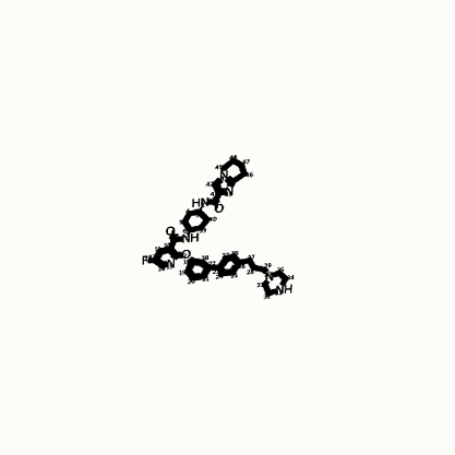 O=C(N[C@H]1CC[C@H](NC(=O)c2cc(F)cnc2Oc2cccc(-c3ccc(CCCN4CCNCC4)cc3)c2)CC1)c1cn2c(n1)CCCC2